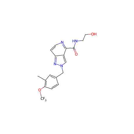 Cc1cc(Cn2cc3c(C(=O)NCCO)nccc3n2)ccc1OC(F)(F)F